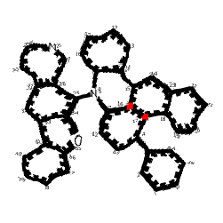 c1ccc(-c2ccc(N(c3ccccc3-c3ccc4ccccc4c3)c3c4cnccc4cc4c3oc3ccccc34)cc2)cc1